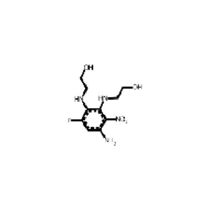 Nc1cc(F)c(NCCO)c(NCCO)c1[N+](=O)[O-]